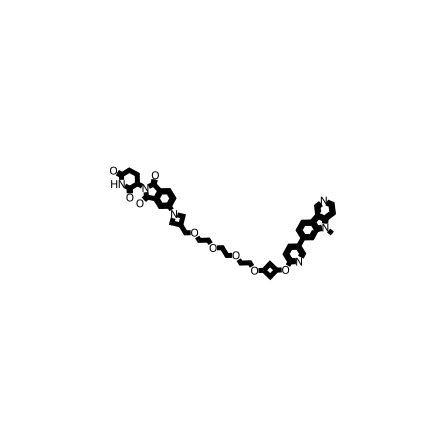 Cn1c2ccncc2c2ccc(-c3ccc(OC4CC(OCCOCCOCCOCC5CN(c6ccc7c(c6)C(=O)N(C6CCC(=O)NC6=O)C7=O)C5)C4)nc3)cc21